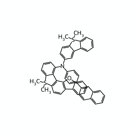 CS1(C)c2ccccc2-c2cc(N(c3ccc(-c4ccc5ccccc5c4)cc3)c3cccc4c3-c3c(ccc5c3oc3ccccc35)S4(C)C)ccc21